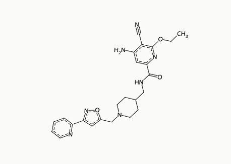 CCOc1nc(C(=O)NCC2CCN(Cc3cc(-c4ccccn4)no3)CC2)cc(N)c1C#N